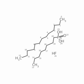 CCCCCCCCCCCCC.CCCCCCCCP(=O)(O)O.F